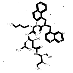 CC[C@H](C)[C@@H](CO)NC(=O)C[C@H](O)[C@H](CC(C)C)NC(=O)[C@H](CCCCN)NC(=O)C(Cc1cccc2ccccc12)Cc1cccc2ccccc12.Cl